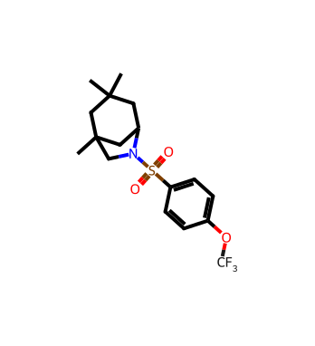 CC1(C)CC2CC(C)(CN2S(=O)(=O)c2ccc(OC(F)(F)F)cc2)C1